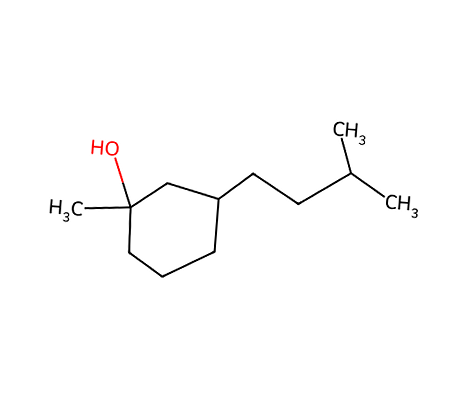 CC(C)CCC1CCCC(C)(O)C1